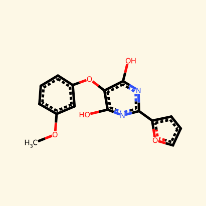 COc1cccc(Oc2c(O)nc(-c3ccco3)nc2O)c1